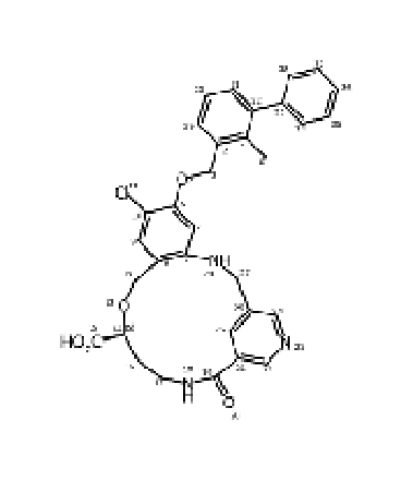 Cc1c(COc2cc3c(cc2Cl)CO[C@H](C(=O)O)CCNC(=O)c2cncc(c2)CN3)cccc1-c1ccccc1